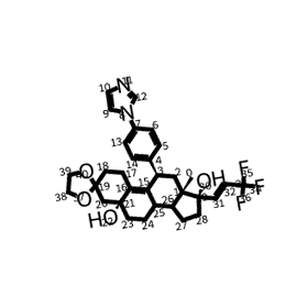 C[C@]12C[C@H](c3ccc(-n4ccnc4)cc3)C3=C4CCC5(C[C@]4(O)CCC3C1CC[C@@]2(O)/C=C/C(F)(F)F)OCCO5